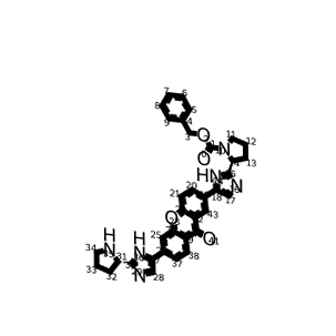 O=C(OCc1ccccc1)N1CCC[C@H]1c1ncc(-c2ccc3oc4cc(-c5cnc([C@@H]6CCCN6)[nH]5)ccc4c(=O)c3c2)[nH]1